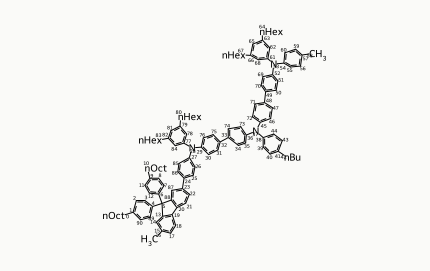 CCCCCCCCc1ccc(C2(c3ccc(CCCCCCCC)cc3)c3cc(C)ccc3-c3ccc(-c4ccc(N(c5ccc(-c6ccc(N(c7ccc(CCCC)cc7)c7ccc(-c8ccc(N(c9ccc(C)cc9)c9cc(CCCCCC)cc(CCCCCC)c9)cc8)cc7)cc6)cc5)c5cc(CCCCCC)cc(CCCCCC)c5)cc4)cc32)cc1